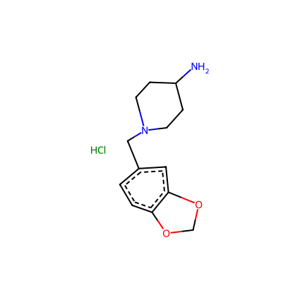 Cl.NC1CCN(Cc2ccc3c(c2)OCO3)CC1